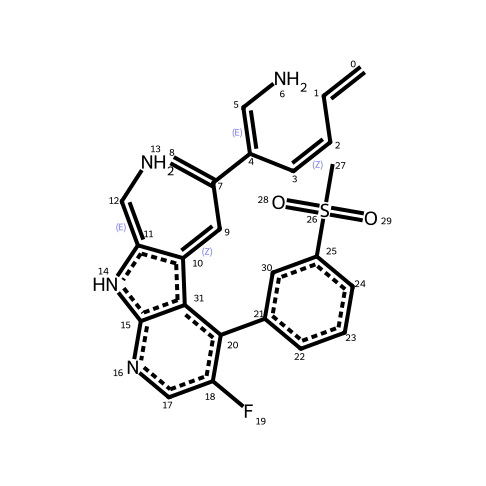 C=C/C=C\C(=C/N)C(=C)/C=c1\c(=C/N)[nH]c2ncc(F)c(-c3cccc(S(C)(=O)=O)c3)c12